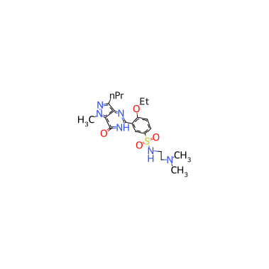 CCCc1nn(C)c2c(=O)[nH]c(-c3cc(S(=O)(=O)NCCN(C)C)ccc3OCC)nc12